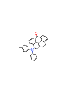 Cc1ccc(N(c2ccc(C)cc2)c2cc3ccc4cccc5c4c3c3c(cccc23)C5=O)cc1